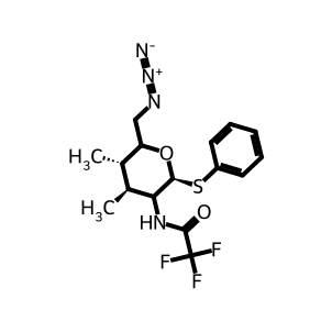 C[C@@H]1C(CN=[N+]=[N-])O[C@@H](Sc2ccccc2)C(NC(=O)C(F)(F)F)[C@H]1C